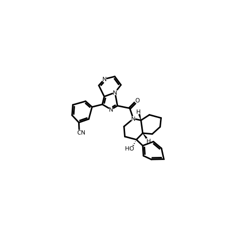 N#Cc1cccc(-c2nc(C(=O)N3CC[C@](O)(c4ccccc4)[C@H]4CCCC[C@H]43)n3ccncc23)c1